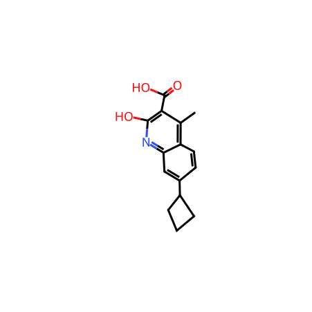 Cc1c(C(=O)O)c(O)nc2cc(C3CCC3)ccc12